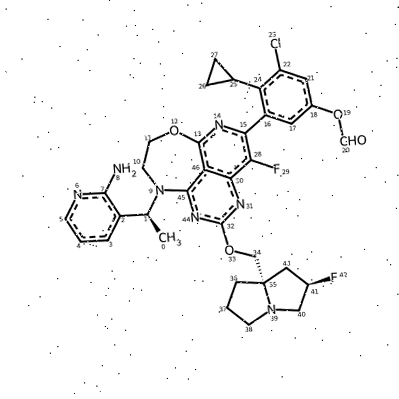 C[C@@H](c1cccnc1N)N1CCOc2nc(-c3cc(OC=O)cc(Cl)c3C3CC3)c(F)c3nc(OC[C@@]45CCCN4C[C@H](F)C5)nc1c23